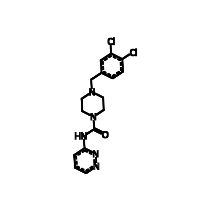 O=C(Nc1cccnn1)N1CCN(Cc2ccc(Cl)c(Cl)c2)CC1